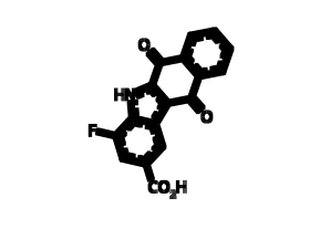 O=C(O)c1cc(F)c2[nH]c3c(c2c1)C(=O)c1ccccc1C3=O